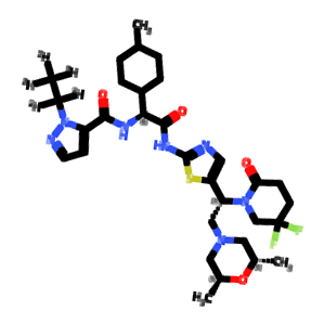 [2H]C([2H])([2H])C([2H])([2H])n1nccc1C(=O)N[C@H](C(=O)Nc1ncc([C@@H](CN2C[C@H](C)O[C@@H](C)C2)N2CC(F)(F)CCC2=O)s1)C1CCC(C)CC1